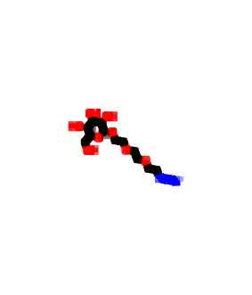 [N-]=[N+]=NCCOCCOCCO[C@H]1OC(CO)[C@@H](O)C(O)C1O